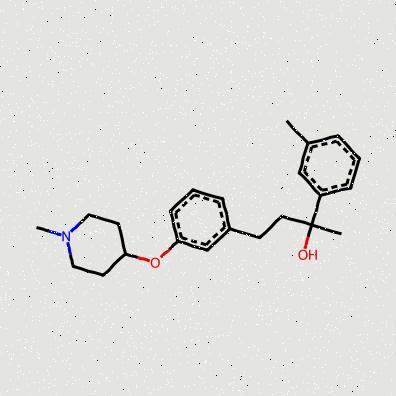 Cc1cccc(C(C)(O)CCc2cccc(OC3CCN(C)CC3)c2)c1